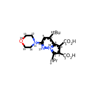 CCCc1c(C(=O)O)c(C(=O)O)c2c(C(C)(C)C)cc(N3CCOCC3)nn12